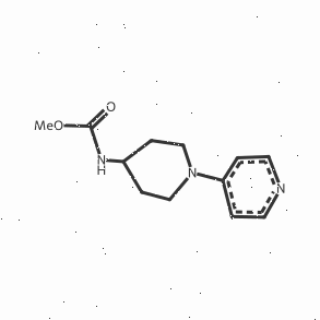 COC(=O)NC1CCN(c2ccncc2)CC1